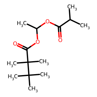 CC(OC(=O)C(C)C)OC(=O)C(C)(C)C(C)(C)C